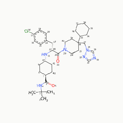 CC(C)(C)NC(=O)[C@H]1CC[C@H](N[C@H](Cc2ccc(Cl)cc2)C(=O)N2CCC(Cn3cncn3)(C3CCCCC3)CC2)CC1